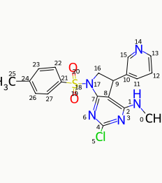 CNc1nc(Cl)nc2c1C(c1cccnc1)CN2S(=O)(=O)c1ccc(C)cc1